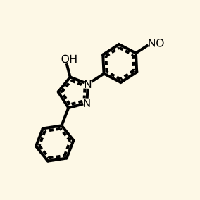 O=Nc1ccc(-n2nc(-c3ccccc3)cc2O)cc1